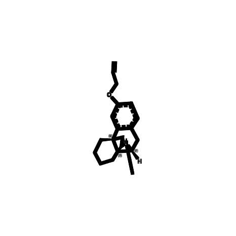 C=CCOc1ccc2c(c1)[C@@]13CCCC[C@H]1[C@@H](C2)N(C)CC3